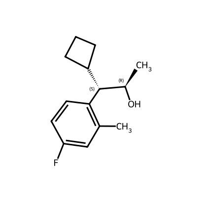 Cc1cc(F)ccc1[C@H](C1CCC1)[C@@H](C)O